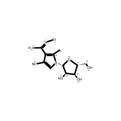 CC/N=C(/N)c1c(C#N)cn([C@@H]2O[C@H](CO)[C@@H](O)[C@H]2O)c1C